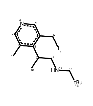 Cc1cncc(CI)c1C(C)CNCC(C)(C)C